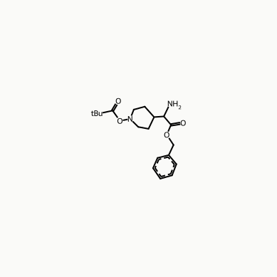 CC(C)(C)C(=O)ON1CCC(C(N)C(=O)OCc2ccccc2)CC1